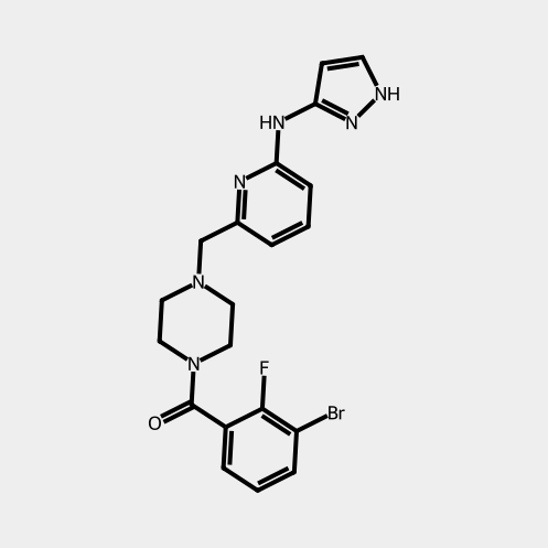 O=C(c1cccc(Br)c1F)N1CCN(Cc2cccc(Nc3cc[nH]n3)n2)CC1